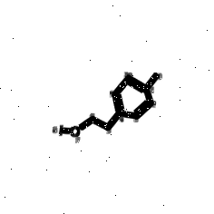 Cc1ccc(CCOI)cc1